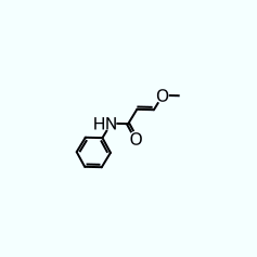 CO/C=C/C(=O)Nc1ccccc1